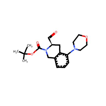 CC(C)(C)OC(=O)N1Cc2cccc(N3CCOCC3)c2C[C@@H]1C=O